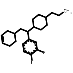 CCCC1CCC(C(CC2CC=CCC2)c2ccc(F)c(F)c2)CC1